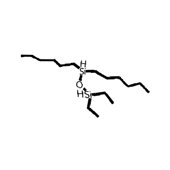 CCCCCC[SiH](CCCCCC)O[SiH](CC)CC